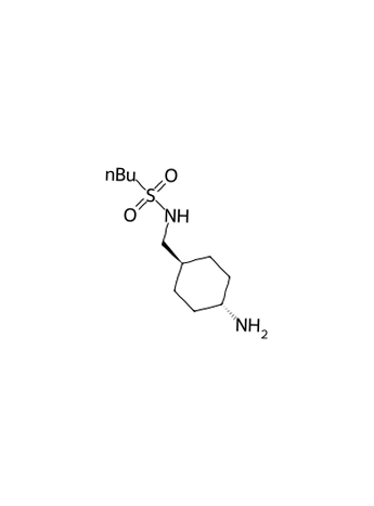 CCCCS(=O)(=O)NC[C@H]1CC[C@H](N)CC1